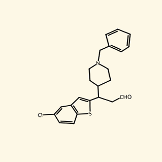 O=CCC(c1cc2cc(Cl)ccc2s1)C1CCN(Cc2ccccc2)CC1